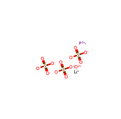 O=S(=O)([O-])[O-].O=S(=O)([O-])[O-].O=S(=O)([O-])[O-].[Li+].[O+2].[P+3]